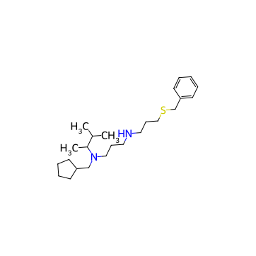 CC(C)C(C)N(CCCNCCCSCc1ccccc1)CC1CCCC1